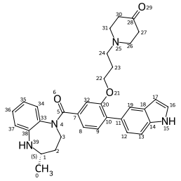 C[C@H]1CCN(C(=O)c2ccc(-c3ccc4[nH]ccc4c3)c(OCCCN3CCC(=O)CC3)c2)c2ccccc2N1